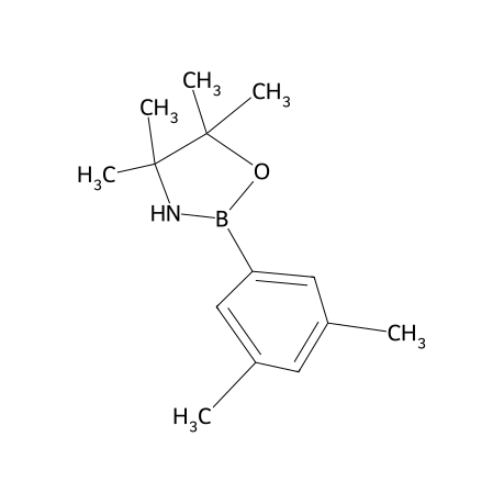 Cc1cc(C)cc(B2NC(C)(C)C(C)(C)O2)c1